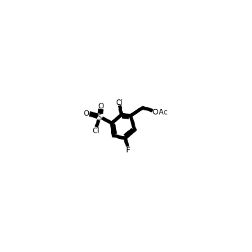 CC(=O)OCc1cc(F)cc(S(=O)(=O)Cl)c1Cl